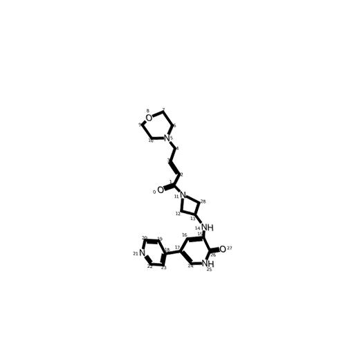 O=C(/C=C/CN1CCOCC1)N1CC(Nc2cc(-c3ccncc3)c[nH]c2=O)C1